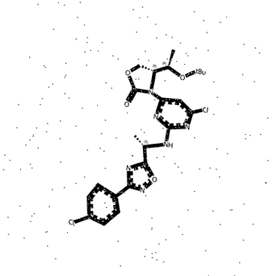 C[C@H](Nc1nc(Cl)cc(N2C(=O)OC[C@@H]2[C@@H](C)OC(C)(C)C)n1)c1nc(-c2ccc(Cl)cc2)no1